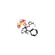 CCC(CC)(Cc1ccccc1)O[PH](=O)O